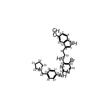 COc1ccc2[nH]cc(CCNc3nc(Nc4ccc(CN5CCCC5)cc4)ncc3Br)c2c1